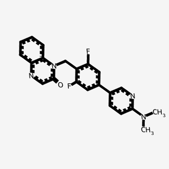 CN(C)c1ccc(-c2cc(F)c(Cn3c(=O)cnc4ccccc43)c(F)c2)cn1